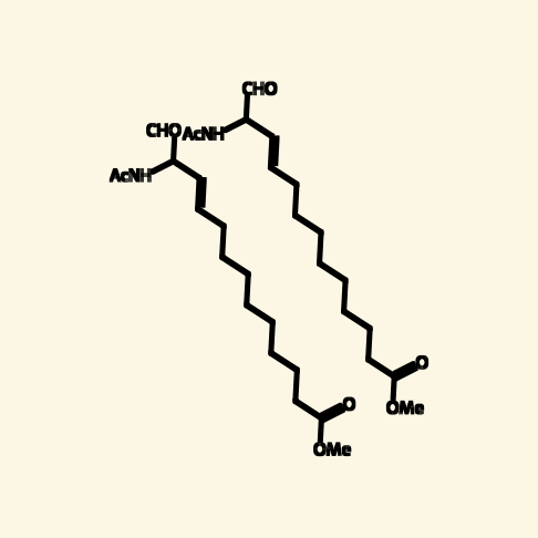 COC(=O)CCCCCCCC/C=C/C(C=O)NC(C)=O.COC(=O)CCCCCCCC/C=C/C(C=O)NC(C)=O